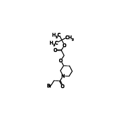 CC(C)(C)OC(=O)COC1CCCN(C(=O)CBr)C1